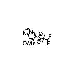 COc1cc2nccn2cc1S(=O)(=O)C(C)(C)C(F)F